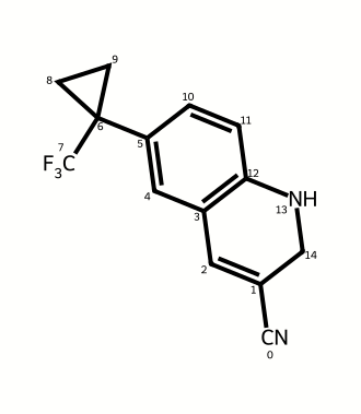 N#CC1=Cc2cc(C3(C(F)(F)F)CC3)ccc2NC1